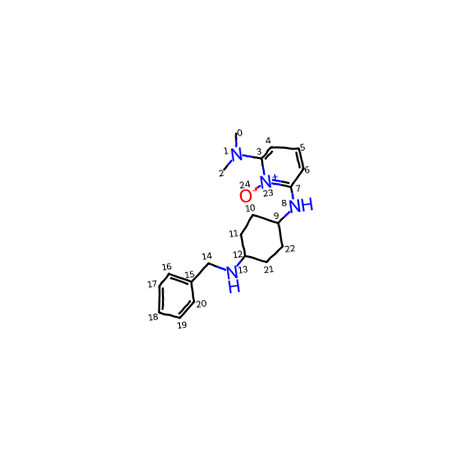 CN(C)c1cccc(NC2CCC(NCc3ccccc3)CC2)[n+]1[O-]